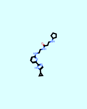 O=C(CCNC1CCCC1)NCCNc1cccc(-c2ncc(C3CC3)[nH]2)n1